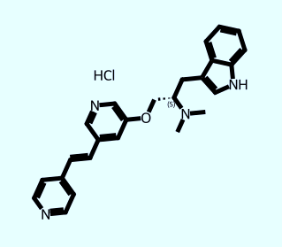 CN(C)[C@H](COc1cncc(C=Cc2ccncc2)c1)Cc1c[nH]c2ccccc12.Cl